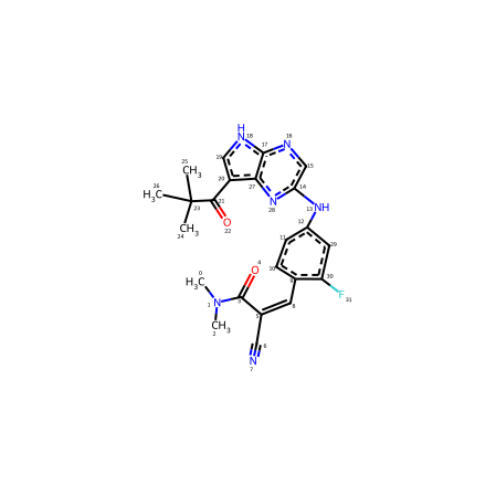 CN(C)C(=O)C(C#N)=Cc1ccc(Nc2cnc3[nH]cc(C(=O)C(C)(C)C)c3n2)cc1F